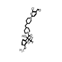 COc1cccc(C(O)(C(=O)N2CCC(CC3CCN(c4ccc(C=O)c(Cl)n4)CC3)CC2)C(F)(F)C(F)(F)F)c1